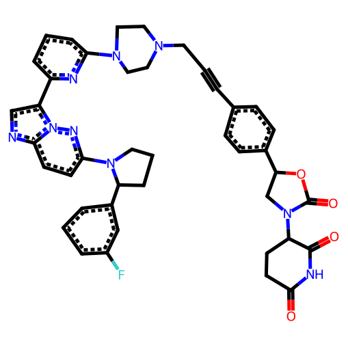 O=C1CCC(N2CC(c3ccc(C#CCN4CCN(c5cccc(-c6cnc7ccc(N8CCCC8c8cccc(F)c8)nn67)n5)CC4)cc3)OC2=O)C(=O)N1